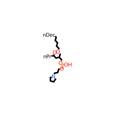 CCCCCCCCCCCCCCCOCC(COP(O)OCCCN1CCCC1)CC(=O)CCC